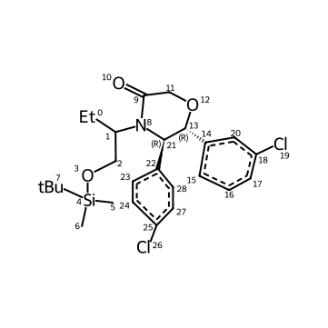 CCC(CO[Si](C)(C)C(C)(C)C)N1C(=O)CO[C@H](c2cccc(Cl)c2)[C@H]1c1ccc(Cl)cc1